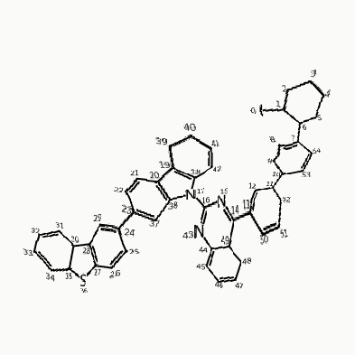 IC1CCCCC1C1=CCC(C2C=C(C3=NC(n4c5c(c6ccc(-c7ccc8c(c7)C7C=CC=CC7S8)cc64)CCC=C5)=NC4=CC=CCC43)C=CC2)C=C1